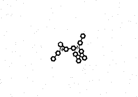 C1=c2c(n(-c3ccc(-c4ccccc4)cc3)c3ccc(-c4ccc(N(c5ccc(-c6ccccc6)cc5)c5ccc6c(c5)C5(c7ccccc7-c7ccccc75)c5ccccc5-6)cc4)cc23)=CCC1